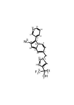 CCC(O)(c1cn(Cc2ccn3c(-c4cccnc4)c(C#N)cc3c2)nn1)C(F)(F)F